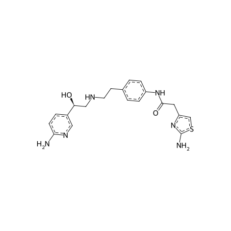 Nc1ccc([C@@H](O)CNCCc2ccc(NC(=O)Cc3csc(N)n3)cc2)cn1